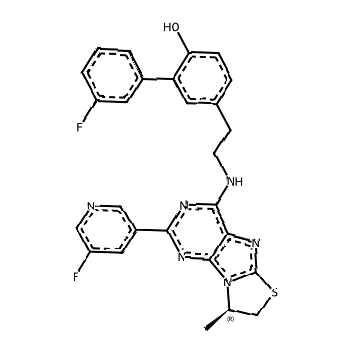 C[C@@H]1CSc2nc3c(NCCc4ccc(O)c(-c5cccc(F)c5)c4)nc(-c4cncc(F)c4)nc3n21